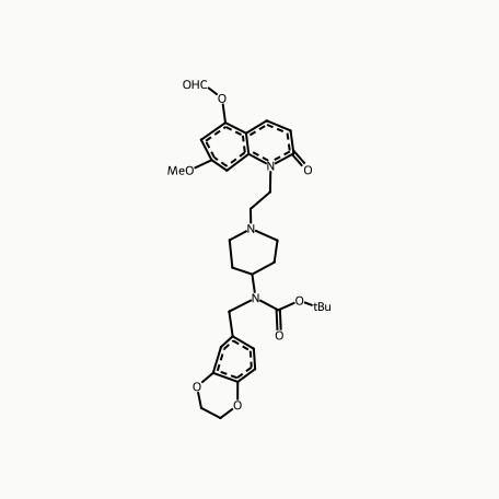 COc1cc(OC=O)c2ccc(=O)n(CCN3CCC(N(Cc4ccc5c(c4)OCCO5)C(=O)OC(C)(C)C)CC3)c2c1